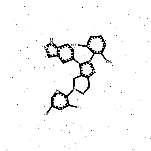 Cc1cccc(C)c1-n1nc2c(c1-c1ccc3[nH]ncc3c1)CN(c1ncc(Cl)cc1Cl)CC2